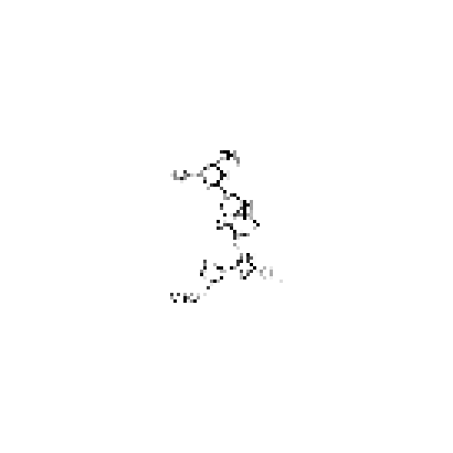 COCc1cccc(-c2oc(C)nc2CN2CCNC3(CCN(c4nc(C)cc(N)n4)CC3)C2=O)c1